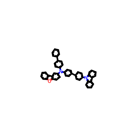 c1ccc(-c2ccc(N(c3ccc(-c4ccc(-n5c6ccccc6c6ccccc65)cc4)cc3)c3ccc4oc5ccccc5c4c3)cc2)cc1